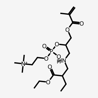 C=C(C)C(=O)OCC(CNCC(CC)C(=O)OCC)OP(=O)(O)OCC[N+](C)(C)C